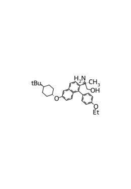 CCOc1ccc(-c2c([C@@](C)(N)CO)ccc3cc(O[C@H]4CC[C@H](C(C)(C)C)CC4)ccc23)cc1